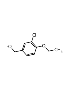 CCOc1ccc(C[O])cc1Cl